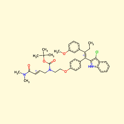 CC/C(=C(/c1ccc(OCCN(C/C=C/C(=O)N(C)C)C(=O)OC(C)(C)C)cc1)c1[nH]c2ccccc2c1Cl)c1cccc(OC)c1